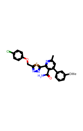 COc1cccc(-c2cc(C)nc(-c3nnc(COc4ccc(Cl)cc4)s3)c2C(N)=O)c1